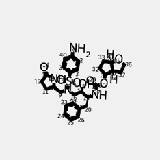 Nc1ccc(S(=O)(=O)N(CC2CCC(=O)N2)C[C@@H](O)[C@H](Cc2ccccc2)NC(=O)OC2CC[C@H]3OCC[C@@H]23)cc1